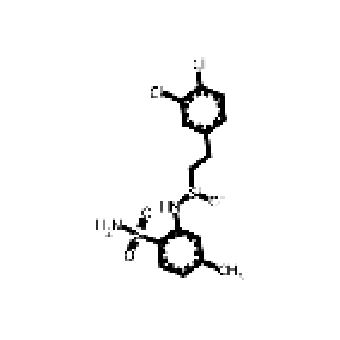 Cc1ccc(S(N)(=O)=O)c(N[S+]([O-])CCc2ccc(Cl)c(Cl)c2)c1